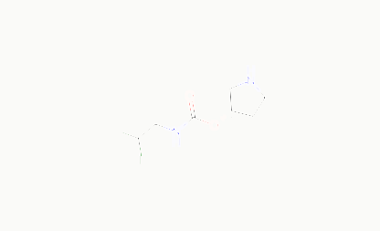 O=C(NCC(F)F)O[C@H]1CCNC1